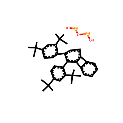 CC(C)(C)c1ccc(-c2ccc3c(c2-c2ccc(C(C)(C)C)cc2C(C)(C)C)-c2ccccc2-3)c(C(C)(C)C)c1.OPOPO